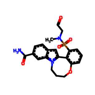 CN(CC=O)S(=O)(=O)c1cccc2c1-c1cc3ccc(C(N)=O)cc3n1CCCO2